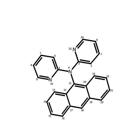 c1ccc(N(c2ccccn2)c2c3ccccc3cc3ccccc23)nc1